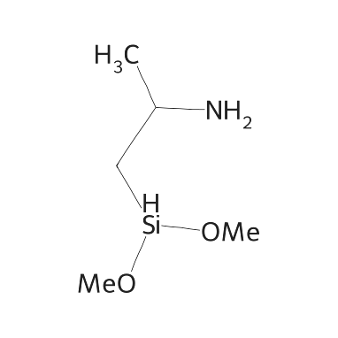 CO[SiH](CC(C)N)OC